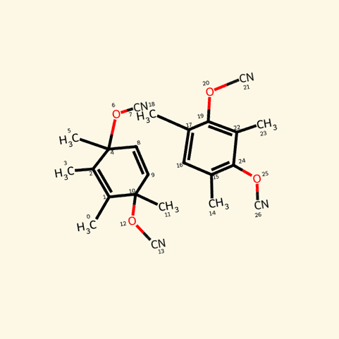 CC1=C(C)C(C)(OC#N)C=CC1(C)OC#N.Cc1cc(C)c(OC#N)c(C)c1OC#N